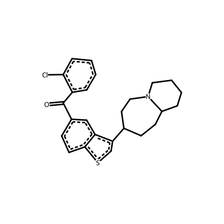 O=C(c1ccc2scc(C3CCC4CCCCN4CC3)c2c1)c1ccccc1Cl